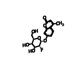 Cc1cc(=O)oc2cc(O[C@H]3O[C@H](CO)[C@H](O)[C@H](O)[C@H]3F)ccc12